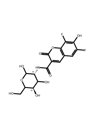 O=C(N[C@H]1C(O)OC(CO)[C@H](O)C1O)c1cc2cc(F)c(O)c(F)c2oc1=O